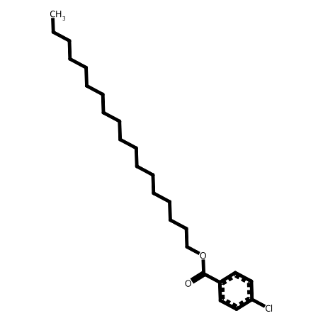 CCCCCCCCCCCCCCCCCCOC(=O)c1ccc(Cl)cc1